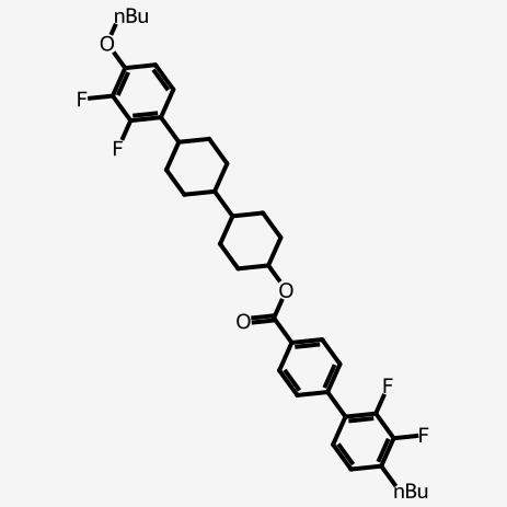 CCCCOc1ccc(C2CCC(C3CCC(OC(=O)c4ccc(-c5ccc(CCCC)c(F)c5F)cc4)CC3)CC2)c(F)c1F